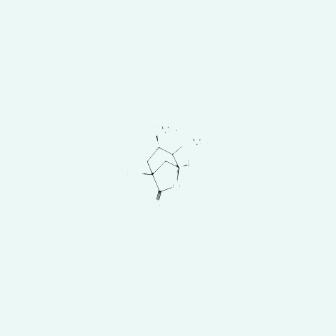 COC1[C@H](OC)CC2(O)C[C@H]1OC2=O